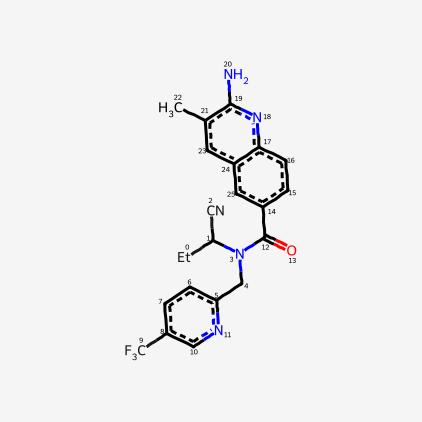 CCC(C#N)N(Cc1ccc(C(F)(F)F)cn1)C(=O)c1ccc2nc(N)c(C)cc2c1